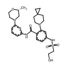 C[C@@H]1CN(c2cccc(NC(=O)c3ccc(NS(=O)(=O)CCO)cc3N3CCC4(CC3)CC4)n2)CCO1